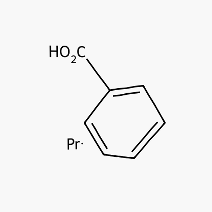 O=C(O)c1ccccc1.[Pr]